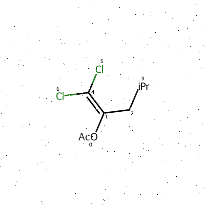 CC(=O)OC(CC(C)C)=C(Cl)Cl